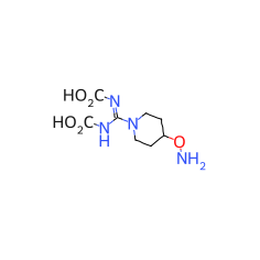 NOC1CCN(C(=NC(=O)O)NC(=O)O)CC1